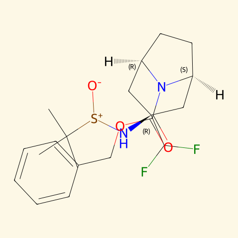 CC(C)(C)[S+]([O-])N[C@@]1(C(F)F)C[C@H]2CC[C@@H](C1)N2C(=O)OCc1ccccc1